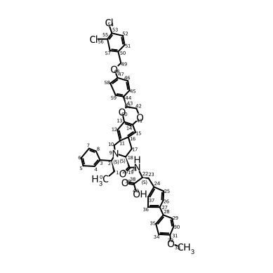 CC[C@@H](c1ccccc1)N1Cc2cc3c(cc2C[C@H]1C(=O)N[C@@H](Cc1ccc(-c2ccc(OC)cc2)cc1)C(=O)O)OC[C@H](c1ccc(OCc2ccc(Cl)c(Cl)c2)cc1)O3